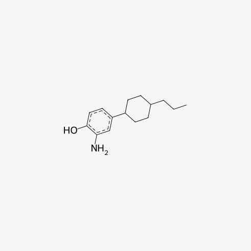 CCCC1CCC(c2ccc(O)c(N)c2)CC1